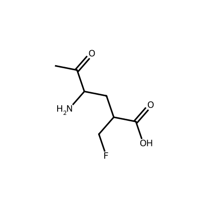 CC(=O)C(N)CC(CF)C(=O)O